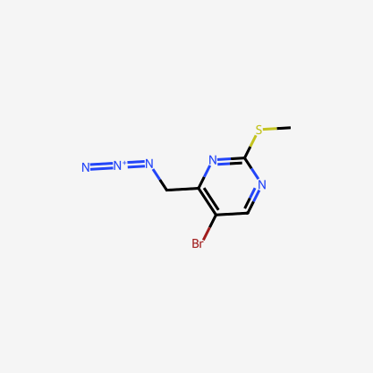 CSc1ncc(Br)c(CN=[N+]=[N-])n1